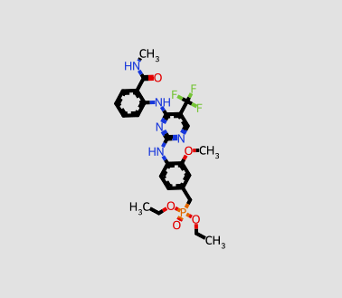 CCOP(=O)(Cc1ccc(Nc2ncc(C(F)(F)F)c(Nc3ccccc3C(=O)NC)n2)c(OC)c1)OCC